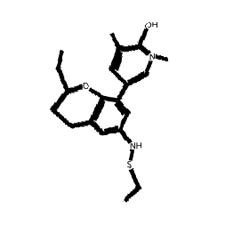 CCSNc1cc2c(c(C3=CN(C)C(O)C(C)=C3)c1)OC(CC)CC2